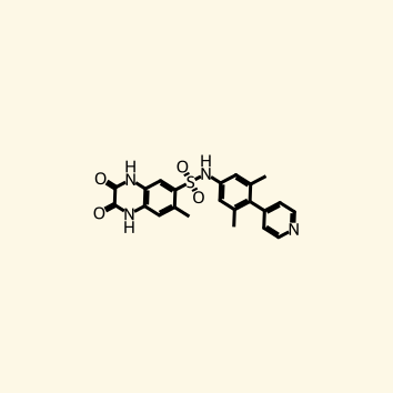 Cc1cc2[nH]c(=O)c(=O)[nH]c2cc1S(=O)(=O)Nc1cc(C)c(-c2ccncc2)c(C)c1